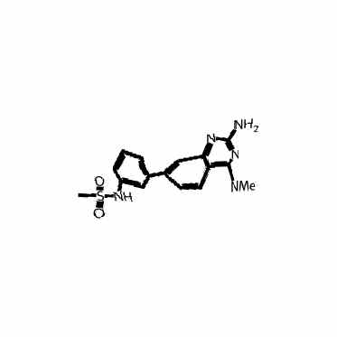 CNc1nc(N)nc2cc(-c3cccc(NS(C)(=O)=O)c3)ccc12